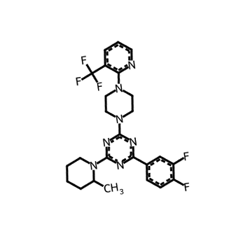 CC1CCCCN1c1nc(-c2ccc(F)c(F)c2)nc(N2CCN(c3ncccc3C(F)(F)F)CC2)n1